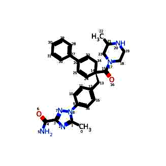 Cc1nc(C(N)=O)nn1-c1ccc(C[C@@]2(C(=O)N3CCNC(C)C3)C=CC(c3ccccc3)=CC2)cc1